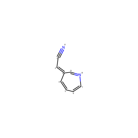 N#CC=C1C=CC=CN=C1